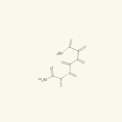 C=C(CCCC)C(=C)C(=C)C(=C)C(=C)C(=C)C(N)=O